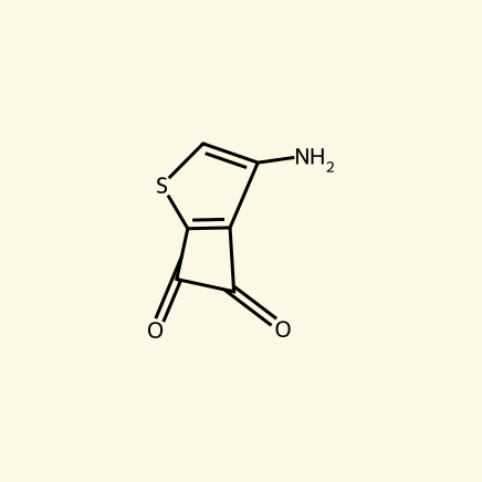 Nc1csc2c(=O)c(=O)c12